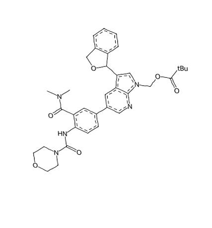 CN(C)C(=O)c1cc(-c2cnc3c(c2)c(C2OCc4ccccc42)cn3COC(=O)C(C)(C)C)ccc1NC(=O)N1CCOCC1